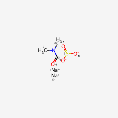 CN(C)C=O.O=S([O-])[O-].[Na+].[Na+]